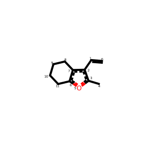 C=Cc1c(C)oc2c1CCCC2